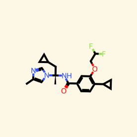 Cc1cn([C@](C)(CC2CC2)NC(=O)c2ccc(C3CC3)c(OCC(F)F)c2)cn1